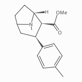 COC(=O)[C@H]1[C@@H](c2ccc(C)cc2)CC2CC[C@H]1N2C